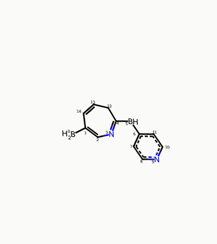 BC1=CN=C(Bc2ccncc2)CC=C1